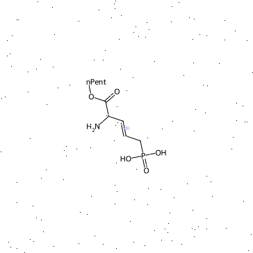 CCCCCOC(=O)C(N)/C=C/CP(=O)(O)O